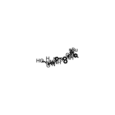 CCCCc1cc(NC(=O)Nc2ccc(OCc3ccnc(Nc4cnc(C(=O)NCCCO)cn4)c3)c3ccccc23)n(-c2ccc(C)cc2)n1